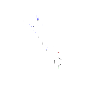 C/N=C(\NC#N)NCCCCN1CCC(C(=O)c2ccc(F)cc2)CC1